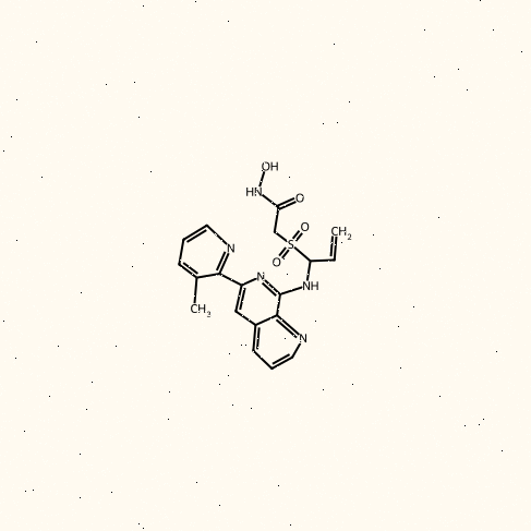 C=CC(Nc1nc(-c2ncccc2C)cc2cccnc12)S(=O)(=O)CC(=O)NO